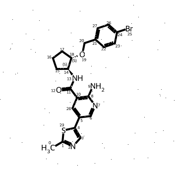 Cc1ncc(-c2cnc(N)c(C(=O)N[C@H]3CCC[C@@H]3OCc3ccc(Br)cc3)c2)s1